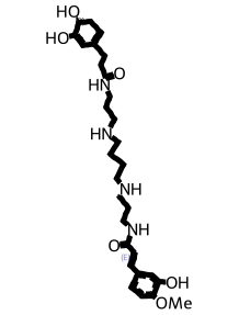 COc1ccc(/C=C/C(=O)NCCCNCCCCNCCCNC(=O)CCC2=CC[C@@H](O)C(O)=C2)cc1O